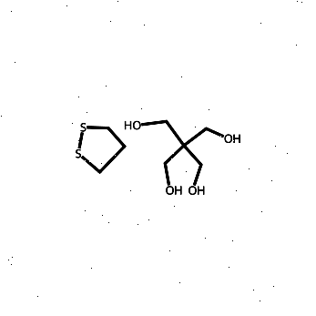 C1CSSC1.OCC(CO)(CO)CO